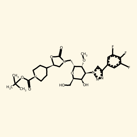 CO[C@@H]1[C@@H](n2cc(-c3cc(F)c(F)c(F)c3)nn2)[C@@H](O)[C@@H](CO)O[C@@H]1CN1C[C@@H](C2CCN(C(=O)OC(C)(C)C)CC2)OC1=O